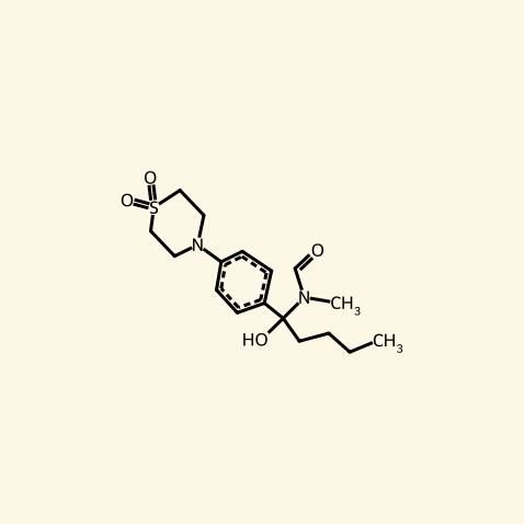 CCCCC(O)(c1ccc(N2CCS(=O)(=O)CC2)cc1)N(C)C=O